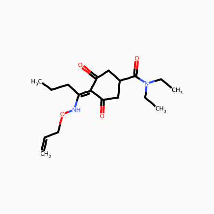 C=CCONC(CCC)=C1C(=O)CC(C(=O)N(CC)CC)CC1=O